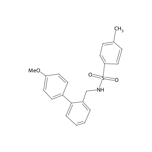 COc1ccc(-c2ccccc2CNS(=O)(=O)c2ccc(C)cc2)cc1